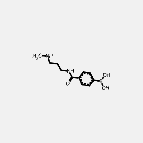 CNCCCNC(=O)c1ccc(B(O)O)cc1